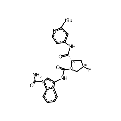 CC(C)(C)c1cc(NC(=O)[C@@H]2C[C@@H](F)CN2C(=O)Nc2cn(C(N)=O)c3ccccc23)ccn1